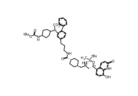 CC(C)(C)OC(=O)NC1CCC(N(C(=O)O)c2cc(CCCNC(=O)[C@H]3CC[C@H](CNC[C@H](O[Si](C)(C)C(C)(C)C)c4ccc(O)c5[nH]c(=O)ccc45)CC3)ccc2-c2ccccc2)CC1